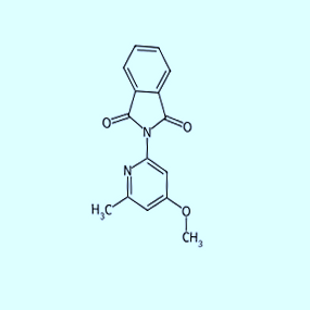 COc1cc(C)nc(N2C(=O)c3ccccc3C2=O)c1